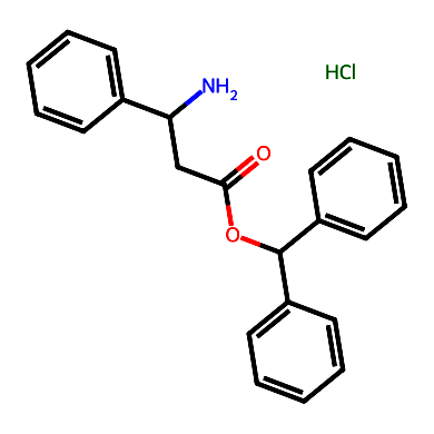 Cl.NC(CC(=O)OC(c1ccccc1)c1ccccc1)c1ccccc1